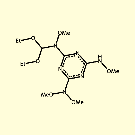 CCOC(OCC)N(OC)c1nc(NOC)nc(N(OC)OC)n1